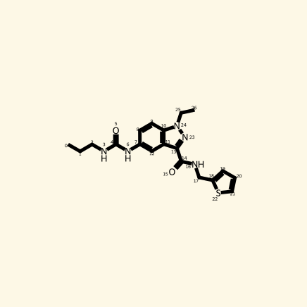 CCCNC(=O)Nc1ccc2c(c1)c(C(=O)NCc1cccs1)nn2CC